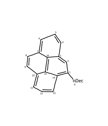 CCCCCCCCCCc1cc2cccc3ccc4cc[c]c1c4c32